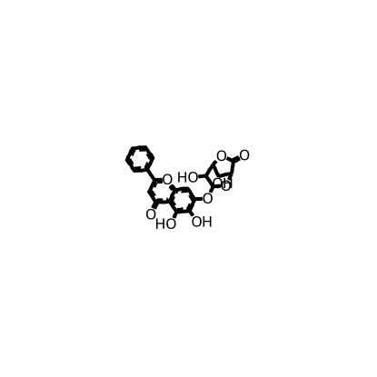 O=C1OC2C(O)C(Oc3cc4oc(-c5ccccc5)cc(=O)c4c(O)c3O)OC1C2O